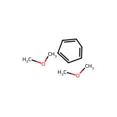 COC.COC.c1ccccc1